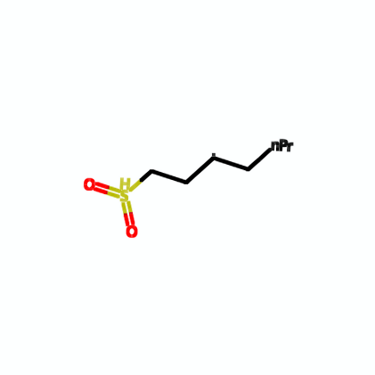 CCCC[CH]CC[SH](=O)=O